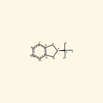 CC(C)(C)[C@@H]1Cc2ccncc2C1